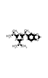 CN(C)c1nc(N(C)C)nc(N(C)c2ccc3c(c2)OCO3)n1